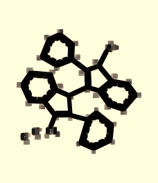 CC1=C(c2ccccc2)C(C2=C(c3ccccc3)[CH]([Zr+2])c3ccccc32)c2ccccc21.[Cl-].[Cl-]